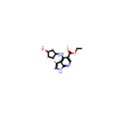 CCOC(=O)c1cnc2[nH]ccc2c1NC1CCC(O)C1